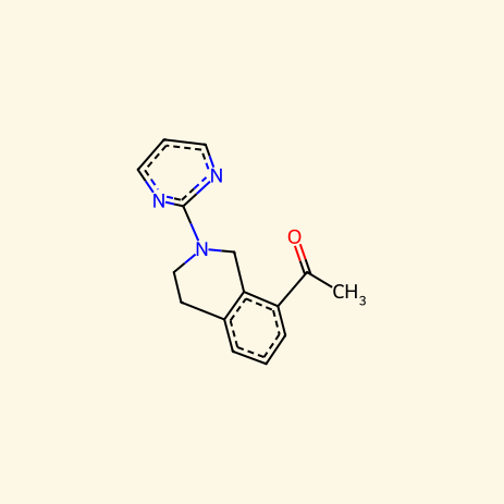 CC(=O)c1cccc2c1CN(c1ncccn1)CC2